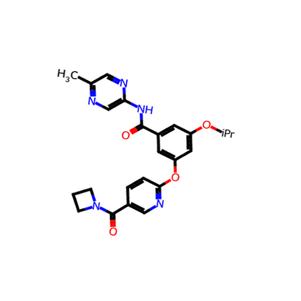 Cc1cnc(NC(=O)c2cc(Oc3ccc(C(=O)N4CCC4)cn3)cc(OC(C)C)c2)cn1